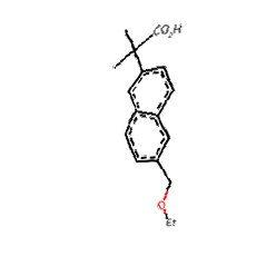 CCOCc1ccc2cc(C(C)(C)C(=O)O)ccc2c1